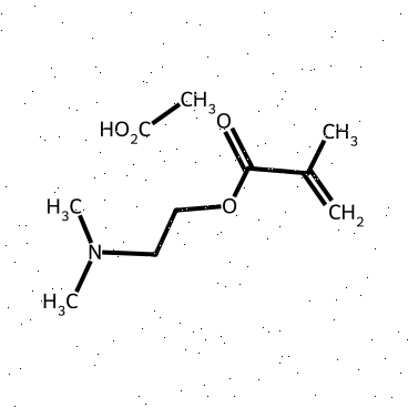 C=C(C)C(=O)OCCN(C)C.CC(=O)O